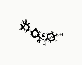 CC1(C)OB(c2ccc(S(=O)(=O)NC3CCC(O)CC3)cc2)OC1(C)C